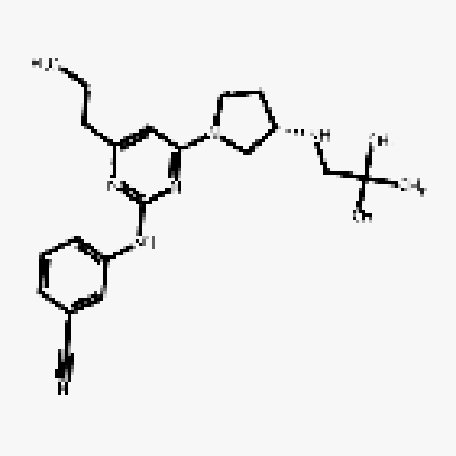 CCCc1cc(N2CC[C@H](NCC(C)(C)C)C2)nc(Nc2cccc(C#N)c2)n1